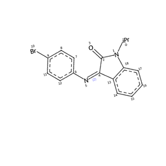 CC(C)N1C(=O)/C(=N\c2ccc(Br)cc2)c2ccccc21